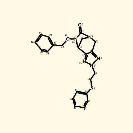 O=C1N2Cc3nn(CCSc4ccccc4)nc3C(C2)N1OCc1ccccc1